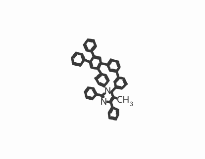 Cc1c(-c2ccccc2)nc(-c2ccccc2)nc1-c1cccc(-c2cccc(-c3cc(-c4ccccc4)c(-c4ccccc4)cc3-c3ccccc3)c2)c1